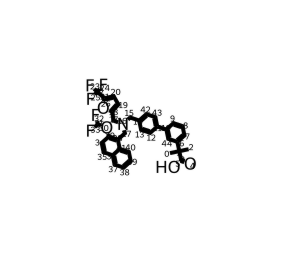 CC(C)(C(=O)O)c1cccc(-c2ccc(CN(Cc3ccc(C(F)(F)F)o3)Cc3c(OC(F)F)ccc4ccccc34)cc2)c1